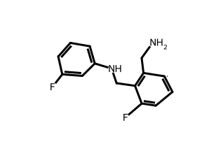 NCc1[c]ccc(F)c1CNc1cccc(F)c1